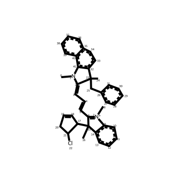 CN1/C(=C/C=C/C2=[N+](C)c3ccccc3C2(C)C2C=CCC2Cl)C(C)(Cc2ccccc2)c2ccc3ccccc3c21